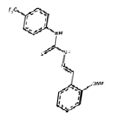 COc1ccccc1/C=N/NC(=S)Nc1ccc(C(F)(F)F)cc1